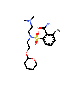 CN(C)CCN(CCOC1CCCCO1)S(=O)(=O)c1cccc([N+](=O)[O-])c1C(N)=O